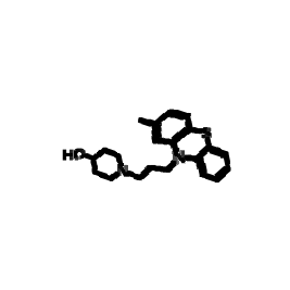 Cc1ccc2c(c1)N(CCCN1CCC(O)CC1)c1ccccc1S2